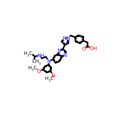 COc1cc(OC)cc(N(CCNC(C)C)c2ccc3ncc(-c4cnn(Cc5ccc(CC(=O)O)cc5)c4)nc3c2)c1